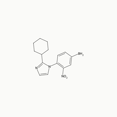 Bc1ccc(-n2ccnc2C2CCCCC2)c([N+](=O)[O-])c1